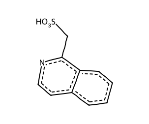 O=S(=O)(O)Cc1nccc2ccccc12